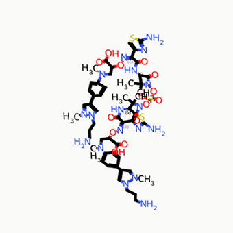 CN(CC(O/N=C(\C(=O)N[C@@H]1C(=O)N(OS(=O)(=O)ON2C(=O)[C@@H](NC(=O)/C(=N\OC(CN(C)c3ccc(-c4cn(CCCN)[n+](C)c4)cc3)C(=O)O)c3csc(N)n3)C2(C)C)C1(C)C)c1csc(N)n1)C(=O)O)c1ccc(-c2cn(CCCN)[n+](C)c2)cc1